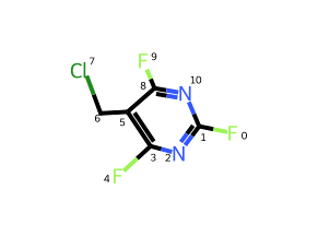 Fc1nc(F)c(CCl)c(F)n1